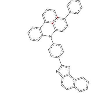 c1ccc(-c2ccc(N(c3ccc(-c4nc5ccc6ccccc6c5o4)cc3)c3ccccc3-c3ccccc3)cc2)cc1